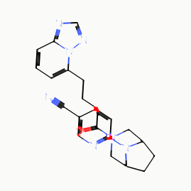 N#Cc1ccc(N2C3CCC2CN(C(=O)CCCc2cccc4ncnn24)C3)nc1